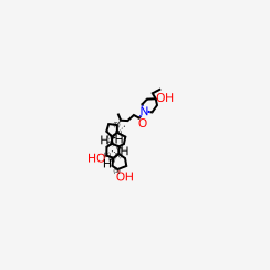 CCC1(O)CCN(C(=O)CCC(C)[C@H]2CC[C@H]3[C@@H]4C[C@H](O)[C@H]5C[C@@H](O)CC[C@]5(C)[C@H]4CC[C@]23C)CC1